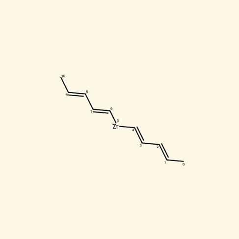 CC=CC=[CH][Zr][CH]=CC=CC